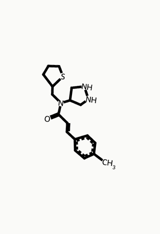 Cc1ccc(/C=C/C(=O)N(CC2CCCS2)C2CNNC2)cc1